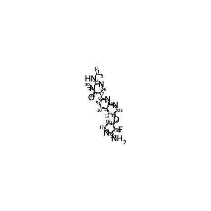 CC(C)Nc1ncc(-c2ccc3cc(Oc4ccnc(N)c4F)cnc3n2)c(=O)n1C